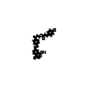 CN(CCOC(=O)/C=C/c1ccc(Cl)cc1)c1ccc(/N=N/c2ccc([N+](=O)[O-])c(C(=O)O)c2)cc1